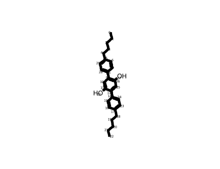 CCCCCc1ccc(-c2cc(O)c(-c3ccc(CCCCC)cc3)cc2O)cc1